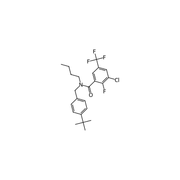 CCCCN(Cc1ccc(C(C)(C)C)cc1)C(=O)c1cc(C(F)(F)F)cc(Cl)c1F